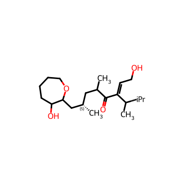 CC(C[C@H](C)CC1OCCCCC1O)C(=O)C(=CCO)C(C)C(C)C